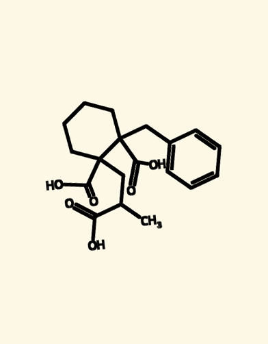 CC(CC1(C(=O)O)CCCCC1(Cc1ccccc1)C(=O)O)C(=O)O